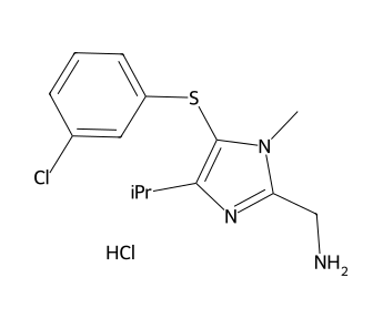 CC(C)c1nc(CN)n(C)c1Sc1cccc(Cl)c1.Cl